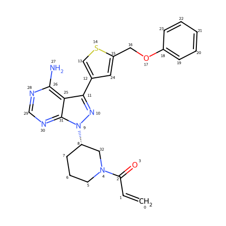 C=CC(=O)N1CCC[C@H](n2nc(-c3csc(COc4ccccc4)c3)c3c(N)ncnc32)C1